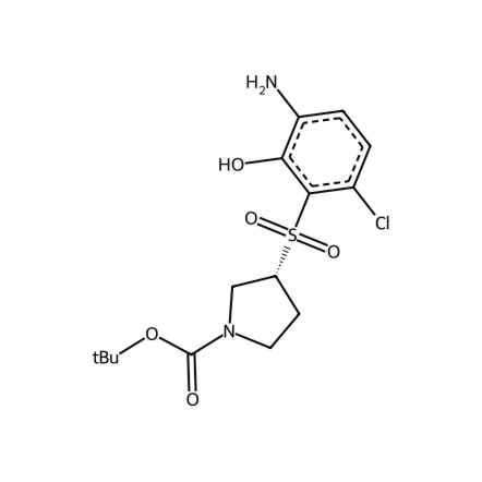 CC(C)(C)OC(=O)N1CC[C@@H](S(=O)(=O)c2c(Cl)ccc(N)c2O)C1